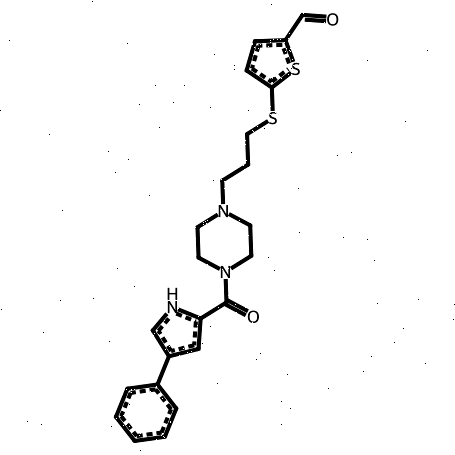 O=Cc1ccc(SCCCN2CCN(C(=O)c3cc(-c4ccccc4)c[nH]3)CC2)s1